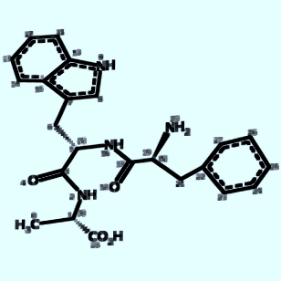 C[C@H](NC(=O)[C@H](Cc1c[nH]c2ccccc12)NC(=O)[C@@H](N)Cc1ccccc1)C(=O)O